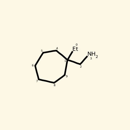 CCC1(CN)CCCCCC1